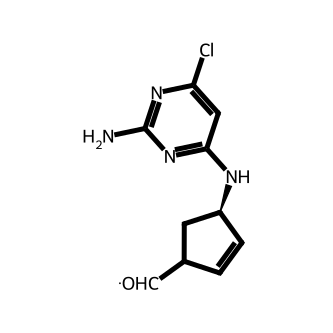 Nc1nc(Cl)cc(N[C@H]2C=CC([C]=O)C2)n1